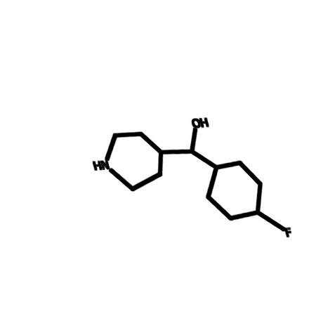 OC(C1CCNCC1)C1CCC(F)CC1